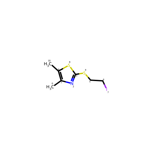 Cc1nc(SCCI)sc1C